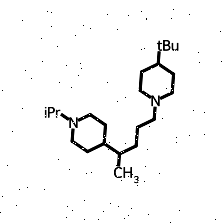 CC(CCCN1CCC(C(C)(C)C)CC1)C1CCN(C(C)C)CC1